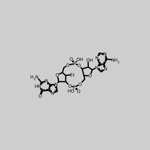 CCC1C2COP(=O)(O)OC3C(COP(=O)(O)OC1C(n1cnc4c(=O)[nH]c(N)nc41)O2)OC(n1cnc2c(N)ncnc21)C3O